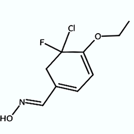 CCOC1=CC=C(C=NO)CC1(F)Cl